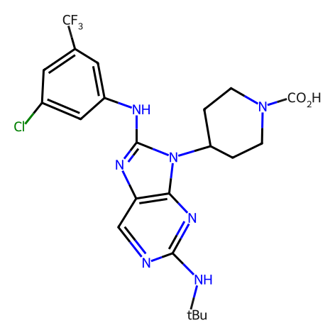 CC(C)(C)Nc1ncc2nc(Nc3cc(Cl)cc(C(F)(F)F)c3)n(C3CCN(C(=O)O)CC3)c2n1